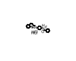 Cl.Cl.O=C(N[C@H]1CC[C@@H](NCc2ccc3ccccc3n2)CC1)c1ccccc1F